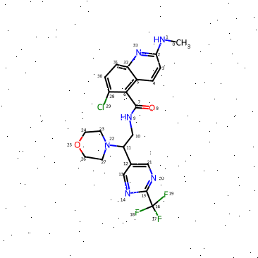 CNc1ccc2c(C(=O)NCC(c3cnc(C(F)(F)F)nc3)N3CCOCC3)c(Cl)ccc2n1